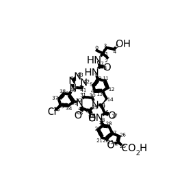 CC(C)(CCO)NC(=O)Nc1ccc(C[C@@H](C(=O)Nc2ccc3oc(C(=O)O)cc3c2)N2CCN(c3cc(Cl)ccc3-n3cnnn3)C(=O)C2=O)cc1